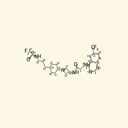 O=C(CNc1ncnc2ccc(C(F)(F)F)cc12)NC1CN(C2CCC(CCCNC(=O)C(F)(F)F)CC2)C1